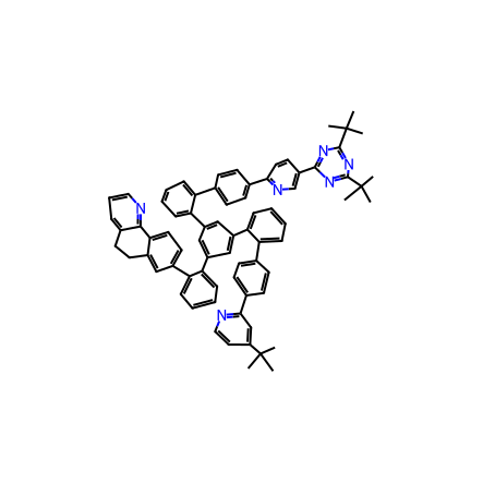 CC(C)(C)c1ccnc(-c2ccc(-c3ccccc3-c3cc(-c4ccccc4-c4ccc(-c5ccc(-c6nc(C(C)(C)C)nc(C(C)(C)C)n6)cn5)cc4)cc(-c4ccccc4-c4ccc5c(c4)CCc4cccnc4-5)c3)cc2)c1